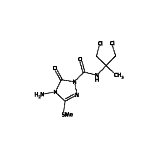 CSc1nn(C(=O)NC(C)(CCl)CCl)c(=O)n1N